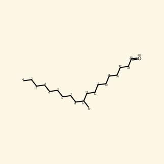 CCCCCCCCCC(C)CCCCCCCC[C]=O